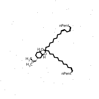 CCCCC/C=C\C/C=C\CCCCCCCCC1(CCCCCCCCCC/C=C\CCCCC)O[C@H]2CC[C@@H](CN(C)C)C[C@H]2O1